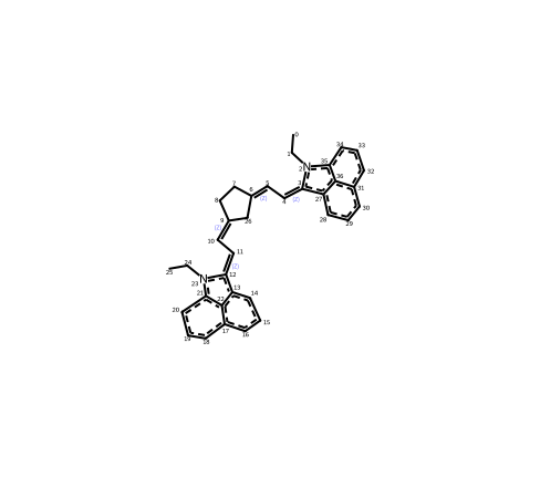 CCn1/c(=C\C=C2\CC/C(=C/C=c3/c4cccc5cccc(c54)n3CC)C2)c2cccc3cccc1c32